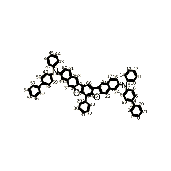 c1ccc(-c2ccc(N(c3ccccc3)c3ccc4cc5c(cc4c3)oc3c(-c4ccccc4)c4oc6cc7cc(N(c8ccccc8)c8ccc(-c9ccccc9)cc8)ccc7cc6c4cc35)cc2)cc1